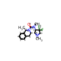 C[C@H]1c2ccccc2CCN1C(=O)N(C)[C@@H]1CN(C)CC1(F)F